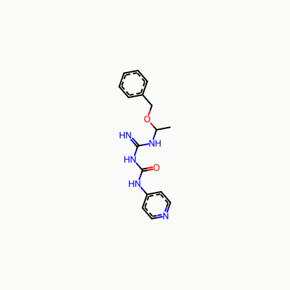 CC(NC(=N)NC(=O)Nc1ccncc1)OCc1ccccc1